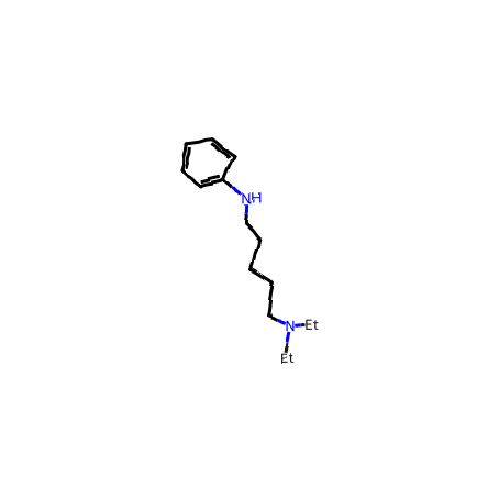 CCN(CC)CCCCCNc1ccccc1